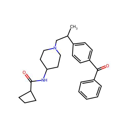 CC(CN1CCC(NC(=O)C2CCC2)CC1)c1ccc(C(=O)c2ccccc2)cc1